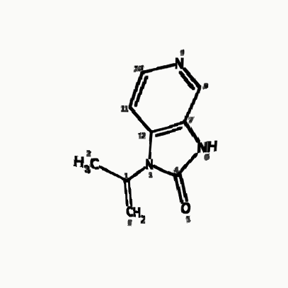 C=C(C)n1c(=O)[nH]c2cnccc21